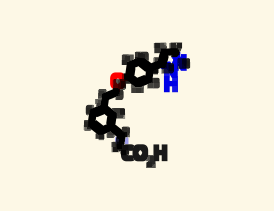 O=C(O)/C=C/c1cccc(CCOc2ccc(-c3ccn[nH]3)cc2)c1